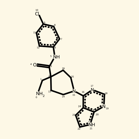 NCC1(C(=O)Nc2ccc(Cl)cc2)CCN(c2ncnc3[nH]ccc23)CC1